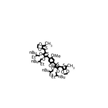 CCCCC(CC)COc1c(-c2cc(OC)c(-c3sc(-c4sc(C)c5c4OCCO5)c(OCC(CC)CCCC)c3OCC(CC)CCCC)cc2OC)sc(-c2sc(C)c3c2OCCO3)c1OCC(CC)CCCC